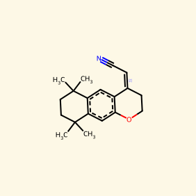 CC1(C)CCC(C)(C)c2cc3c(cc21)OCC/C3=C/C#N